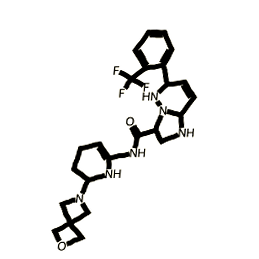 O=C(NC1=CCCC(N2CC3(COC3)C2)N1)C1CNC2C=CC(c3ccccc3C(F)(F)F)NN21